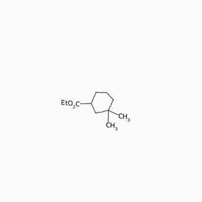 CCOC(=O)C1CCCC(C)(C)C1